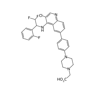 O=C(O)CN1CCN(c2ccc(-c3ccc4ncc(Cl)c(NC(c5ccccc5F)C(F)F)c4c3)cc2)CC1